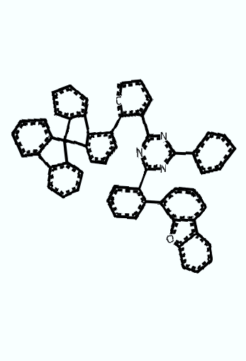 c1ccc(-c2nc(-c3ccccc3-c3cccc4c3-c3ccccc3C43c4ccccc4-c4ccccc43)nc(-c3ccccc3-c3cccc4c3oc3ccccc34)n2)cc1